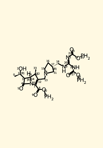 C[C@@H](O)C1C(=O)N2C(C(=O)OP)=C(CN3CC[C@H](CNC(=NC(=O)OP)NC(=O)OP)C3)[C@H](C)[C@H]12